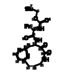 CC(C)C(NC(=O)OCC(C)(C)C)C(=O)NC1Cc2nccc(n2)CCCNC(=O)C1=O